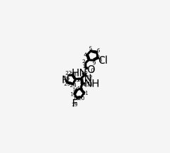 O=C(Cc1cccc(Cl)c1)Nc1n[nH]c(-c2ccc(F)cc2)c1-c1ccncc1